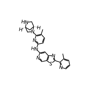 Cc1cccnc1-c1nc2cc(Nc3ccc(C)c(N4C[C@@H]5C[C@H]4CN5)n3)ncc2s1